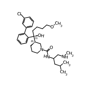 CNCC(CC(C)C)NC(=O)N1CCC[C@@H]([C@@](O)(CCCCOC)c2ccccc2-c2cccc(Cl)c2)C1